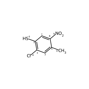 Cc1cc(Cl)c(S)cc1[N+](=O)[O-]